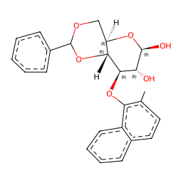 Cc1ccc2ccccc2c1O[C@@H]1[C@@H](O)[C@H](O)O[C@@H]2COC(c3ccccc3)O[C@@H]12